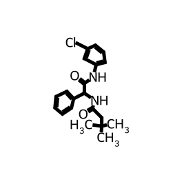 CC(C)(C)CC(=O)NC(C(=O)Nc1cccc(Cl)c1)c1ccccc1